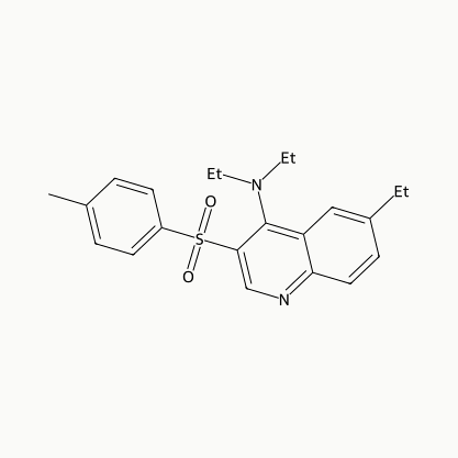 CCc1ccc2ncc(S(=O)(=O)c3ccc(C)cc3)c(N(CC)CC)c2c1